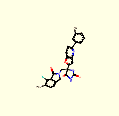 COc1ccc2c(c1F)C(=O)N(C[C@@]1(c3cc4nc(-c5cccc(C#N)c5)ccc4o3)NC(=O)NC1=O)C2